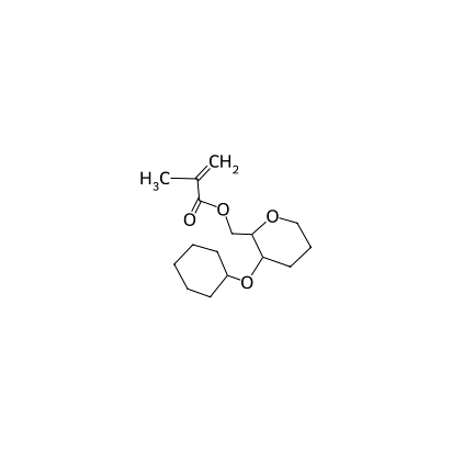 C=C(C)C(=O)OCC1OCCCC1OC1CCCCC1